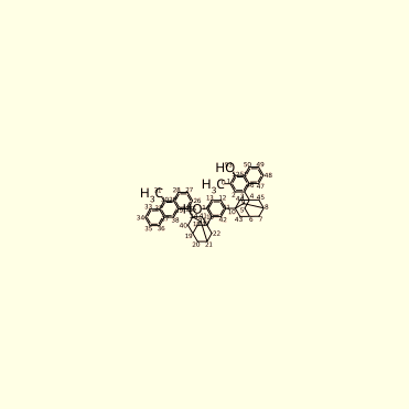 Cc1cc(C23CC4CC(CC(c5ccc(O)c(C67CC8CC(C6)CC(c6cccc9c(C)c%10ccccc%10cc69)(C8)C7)c5)(C4)C2)C3)c2ccccc2c1O